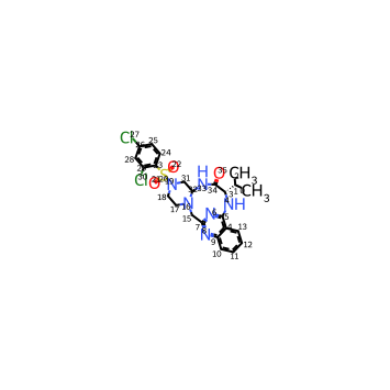 CC(C)[C@@H]1Nc2nc(nc3ccccc23)CN2CCN(S(=O)(=O)c3ccc(Cl)cc3Cl)CC2NC1=O